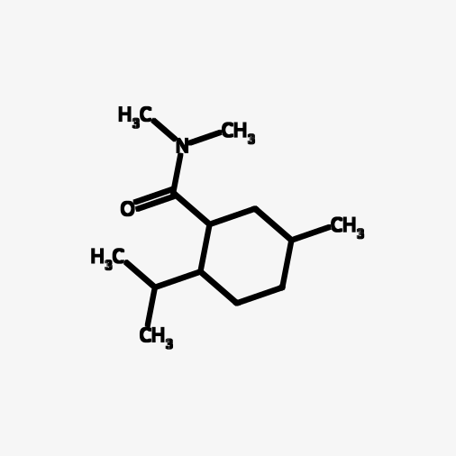 CC1CCC(C(C)C)C(C(=O)N(C)C)C1